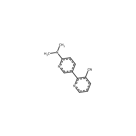 CN(C)c1ccc(-c2ncccc2C#N)cn1